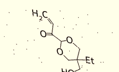 C=CC(=O)C1OCC(CC)(CO)CO1